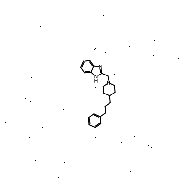 c1ccc(CCCC2CCN(Cc3nc4ccccc4[nH]3)CC2)cc1